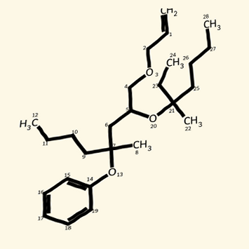 C=CCOCC(CC(C)(CCCC)Oc1ccccc1)OC(C)(CC)CCCC